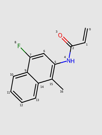 C=CC(=O)Nc1cc(F)c2ccccc2c1C